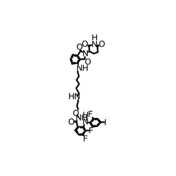 O=C1CCC(N2C(=O)c3cccc(NCCCCCCNCCCONC(=O)c4ccc(F)c(F)c4Nc4ccc(I)cc4F)c3C2=O)C(=O)N1